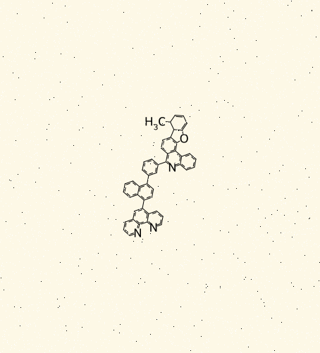 CC1C=CC=C2Oc3c(ccc4c(-c5cccc(-c6ccc(-c7cc8cccnc8c8ncccc78)c7ccccc67)c5)nc5ccccc5c34)C21